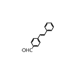 O=[C]c1ccc(C=Cc2ccccc2)cc1